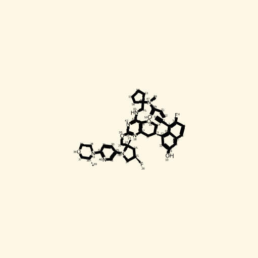 C#Cc1c(F)ccc2cc(O)cc([C@@H]3COc4c(nc(OC[C@]5(C)C[C@@H](F)CN5c5ccc(N6CCOC[C@H]6C)nc5)nc4NCC4(N(C)C(=O)C=C)CCCC4)C3)c12